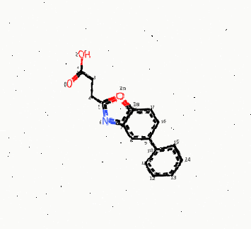 O=C(O)CCc1nc2cc(-c3ccccc3)ccc2o1